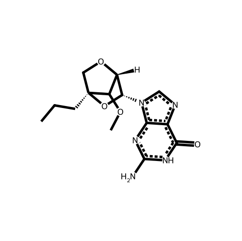 CCC[C@]12CO[C@@H](C1OC)[C@H](n1cnc3c(=O)[nH]c(N)nc31)O2